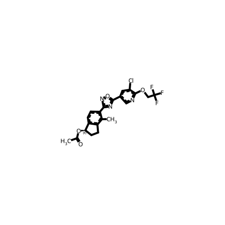 CC(=O)O[C@@H]1CCc2c1ccc(-c1noc(-c3cnc(OCC(F)(F)F)c(Cl)c3)n1)c2C